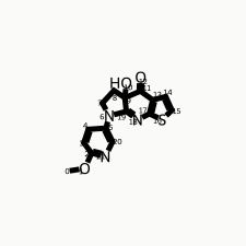 COc1ccc(N2CCC3(O)C(=O)c4ccsc4N=C23)cn1